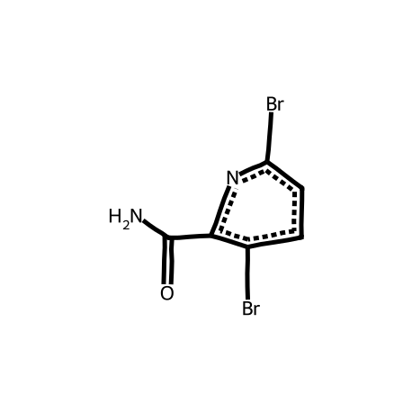 NC(=O)c1nc(Br)ccc1Br